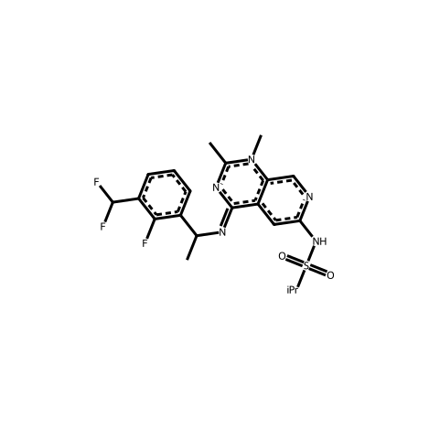 Cc1n/c(=N\C(C)c2cccc(C(F)F)c2F)c2cc(NS(=O)(=O)C(C)C)ncc2n1C